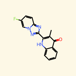 Cc1c(-c2nc3ccc(F)cn3n2)[nH]c2ccccc2c1=O